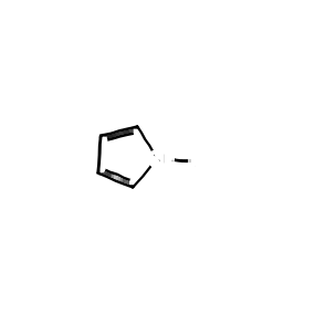 [CH2-][NH+]1C=CC=C1